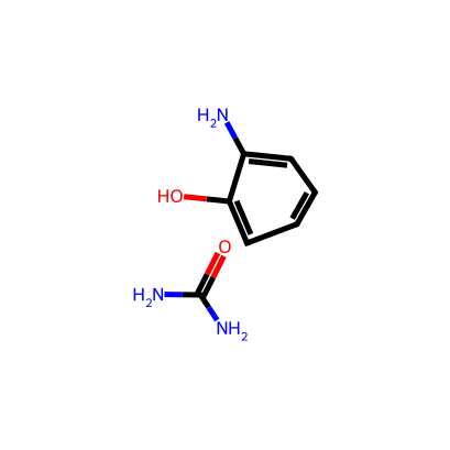 NC(N)=O.Nc1ccccc1O